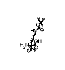 CC(=O)[C@](N)(CCCCNC(=O)OC(C)(C)C)C(=O)O